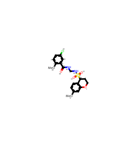 COc1ccc2c(c1)OCCC2S(=O)(=O)NCNC(=O)c1cc(Cl)ccc1OC